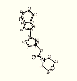 O=C(Cc1csc(-c2cc3cccoc-3c2)n1)N1CCOCC1